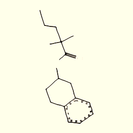 CCCC(C)(C)C(=O)OC1CCc2ccccc2C1